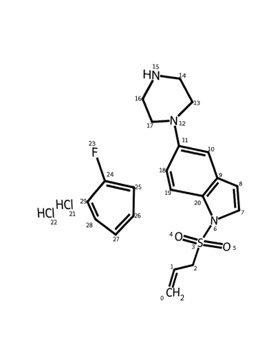 C=CCS(=O)(=O)n1ccc2cc(N3CCNCC3)ccc21.Cl.Cl.Fc1ccccc1